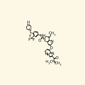 CC[C@@H]1CN(C(=O)Nc2ccc(CN3CCNCC3)c(C(F)(F)F)c2)Cc2cc(Oc3ccnn4cc(C(=O)N(C)C)nc34)cnc21